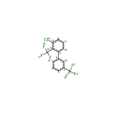 FC(F)(F)c1cccc(-c2cc[c]c(Cl)c2C(F)(F)F)c1